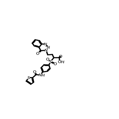 O=C(Nc1ccc(S(=O)(=O)C(CCn2nnc3ccccc3c2=O)C(=O)O)cc1)c1cccs1